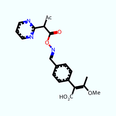 COC(C)=C(C(=O)O)c1ccc(C=NOC(=O)C(C(C)=O)c2ncccn2)cc1